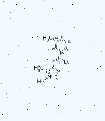 CC/C(=C\c1ccn(C)c1C)c1cccc(C)c1